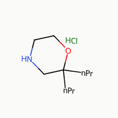 CCCC1(CCC)CNCCO1.Cl